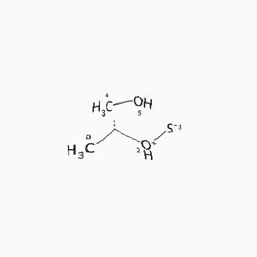 CC[OH+][S-].CO